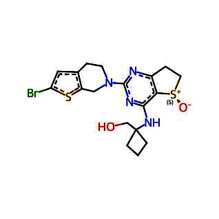 [O-][S@+]1CCc2nc(N3CCc4cc(Br)sc4C3)nc(NC3(CO)CCC3)c21